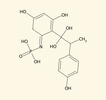 CC(c1ccc(O)cc1)C(O)(O)C1=C(O)C=C(O)CC1=NP(=O)(O)O